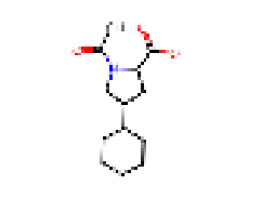 CC(=O)N1CC(C2CCCCC2)CC1C(=O)O